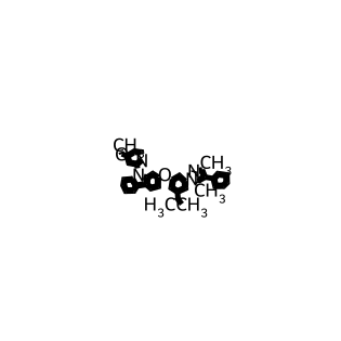 COc1ccnc(-n2c3ccccc3c3ccc(Oc4cc(C(C)C)cc(-n5nc(C)c(-c6ccccc6)c5C)c4)cc32)c1